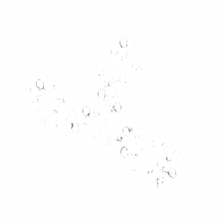 CC(CC(=O)OC(C)(C)C1CCC2(C)OC2C1)(CC(=O)OC(C)(C)C1CCC2(C)OC2C1)CC(=O)OC(C)(C)C1CCC2(C)O[C@H]2C1